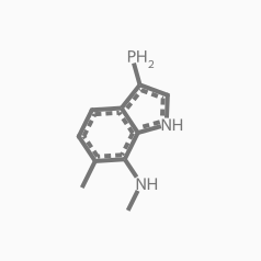 CNc1c(C)ccc2c(P)c[nH]c12